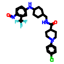 O=Nc1ccc(NC2CCC(CNC(=O)C3CCN(c4ccc(Cl)cc4)CC3)CC2)cc1C(F)(F)F